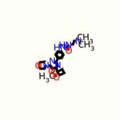 CN(C)CCNC(=O)Nc1ccc(-c2nc(N3CCOCC3)cc(C3(S(C)(=O)=O)CCC3)n2)cc1